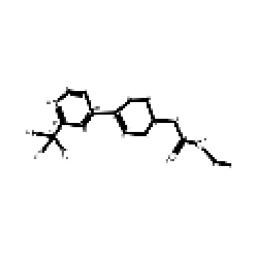 CCOC(=O)CC1CC=C(c2ccnc(C(F)(F)F)c2)CC1